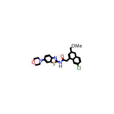 COCC1C=C(CC(=O)NC2=NC3C=CC(N4CCOCC4)=CC3S2)C2C=C(Cl)C=CC2C1